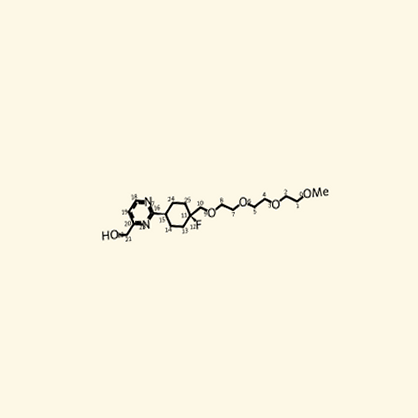 COCCOCCOCCOC[C@]1(F)CC[C@@H](c2nccc(CO)n2)CC1